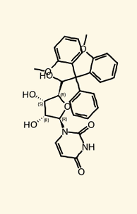 COc1ccccc1C(c1ccccc1)(c1ccccc1OC)C(O)[C@H]1O[C@@H](n2ccc(=O)[nH]c2=O)[C@H](O)[C@@H]1O